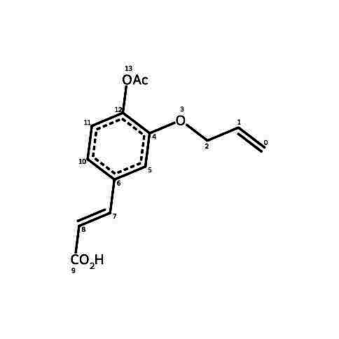 C=CCOc1cc(/C=C/C(=O)O)ccc1OC(C)=O